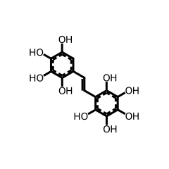 Oc1cc(/C=C/c2c(O)c(O)c(O)c(O)c2O)c(O)c(O)c1O